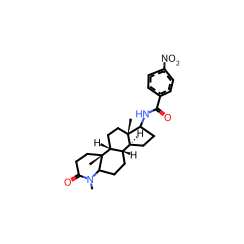 CN1C(=O)CC[C@@]2(C)C1CC[C@@H]1[C@H]2CC[C@]2(C)C(NC(=O)c3ccc([N+](=O)[O-])cc3)CC[C@@H]12